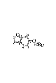 CC(C)(C)Oc1ccc2c[c]oc2c1